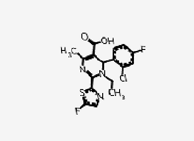 CCN1C(c2ncc(F)s2)=NC(C)=C(C(=O)O)C1c1ccc(F)cc1Cl